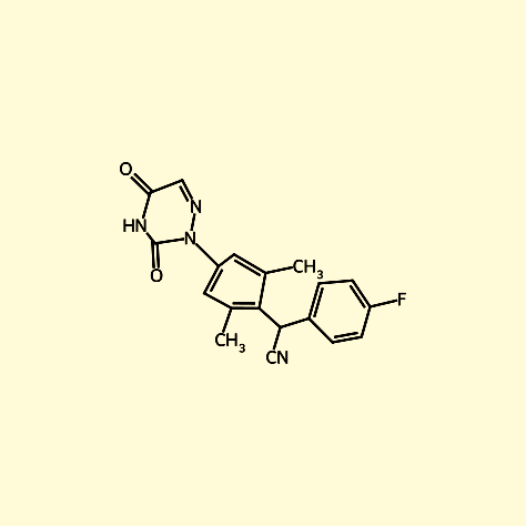 Cc1cc(-n2ncc(=O)[nH]c2=O)cc(C)c1C(C#N)c1ccc(F)cc1